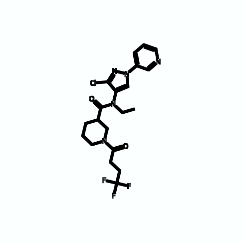 CCN(C(=O)C1CCCN(C(=O)CCC(F)(F)F)C1)c1cn(-c2cccnc2)nc1Cl